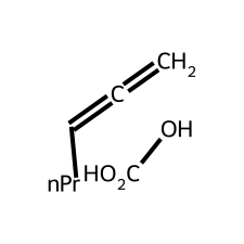 C=C=CCCC.O=C(O)O